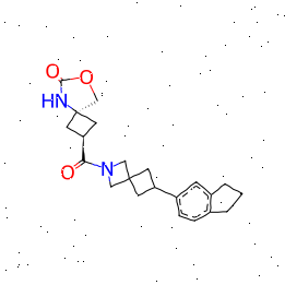 O=C1N[C@]2(CO1)C[C@H](C(=O)N1CC3(CC(c4ccc5c(c4)CCC5)C3)C1)C2